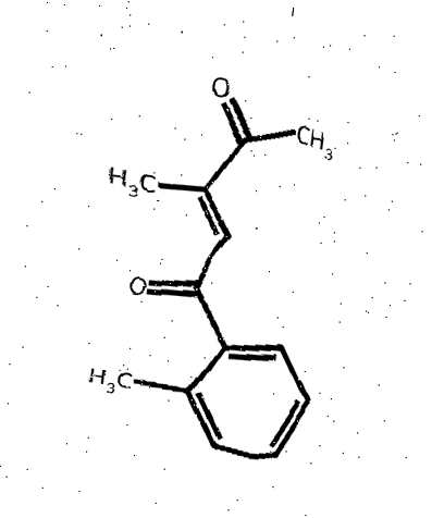 CC(=O)/C(C)=C/C(=O)c1ccccc1C